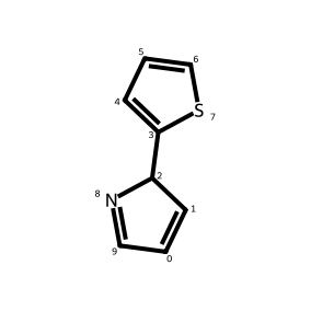 C1=CC(c2cccs2)N=C1